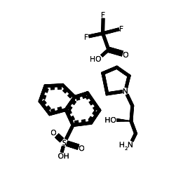 NC[C@@H](O)CN1CCCC1.O=C(O)C(F)(F)F.O=S(=O)(O)c1cccc2ccccc12